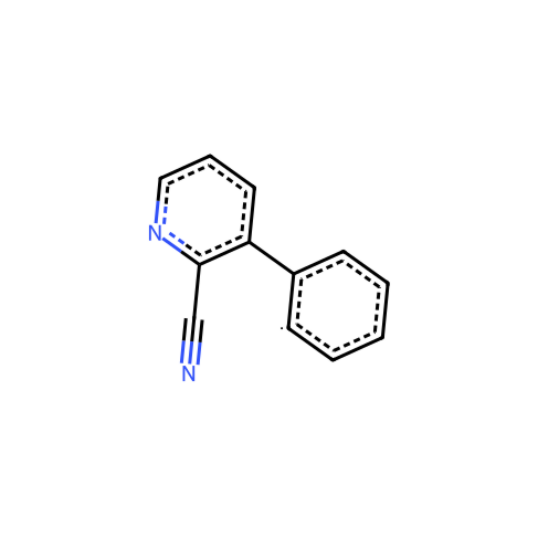 N#Cc1ncccc1-c1[c]cccc1